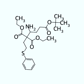 CCOC(=O)C(CCSc1ccccc1)(C(=O)OCC)C(N)CCC(=O)OC(C)(C)C